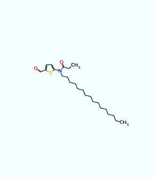 CCCCCCCCCCCCCCCCN(C(=O)CC)c1ccc(C=O)s1